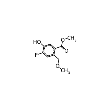 COCc1cc(F)c(O)cc1C(=O)OC